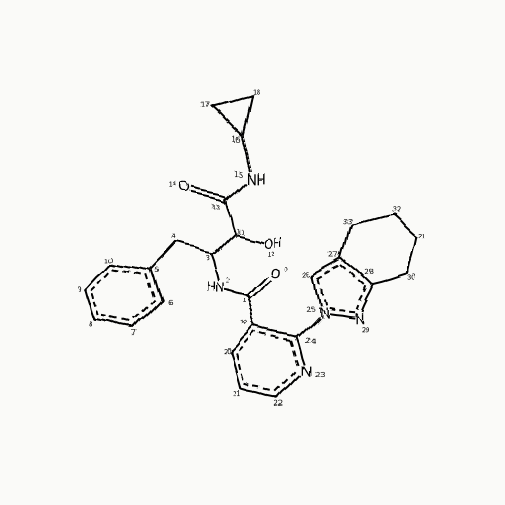 O=C(NC(Cc1ccccc1)C(O)C(=O)NC1CC1)c1cccnc1-n1cc2c(n1)CCCC2